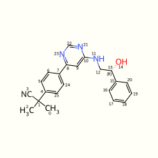 CC(C)(C#N)c1ccc(-c2cc(NC[C@H](O)c3ccccc3)ncn2)cc1